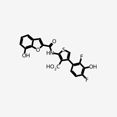 O=C(Nc1scc(-c2ccc(F)c(O)c2F)c1C(=O)O)c1cc2cccc(O)c2o1